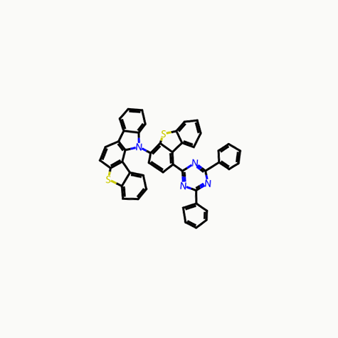 c1ccc(-c2nc(-c3ccccc3)nc(-c3ccc(-n4c5ccccc5c5ccc6sc7ccccc7c6c54)c4sc5ccccc5c34)n2)cc1